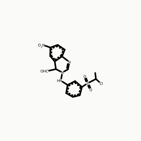 CC(Cl)S(=O)(=O)c1cccc(NN2C=Nc3ccc([N+](=O)[O-])cc3C2C=O)c1